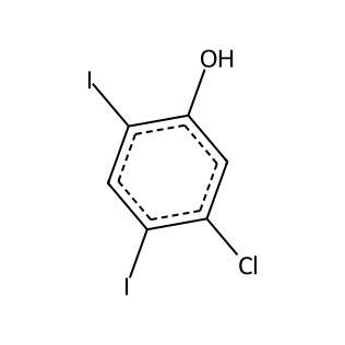 Oc1cc(Cl)c(I)cc1I